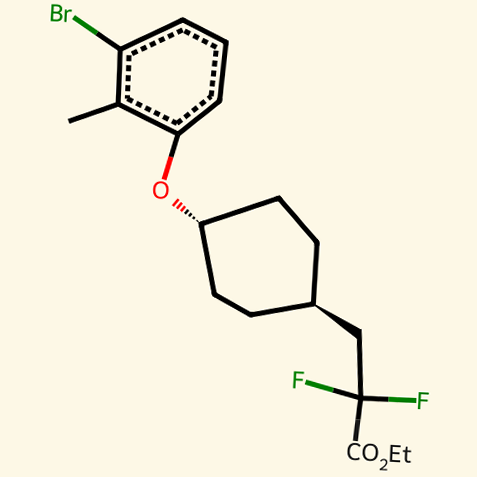 CCOC(=O)C(F)(F)C[C@H]1CC[C@H](Oc2cccc(Br)c2C)CC1